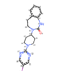 O=C1Nc2ccccc2CCN1C1CCN(c2ncc(I)cn2)CC1